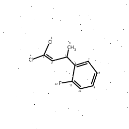 CC(C=C(Cl)Cl)c1ccccc1F